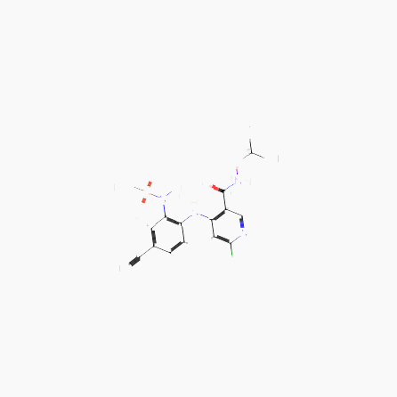 C#Cc1ccc(Nc2cc(Cl)ncc2C(=O)NOC(C)C)c(N(C)S(C)(=O)=O)c1